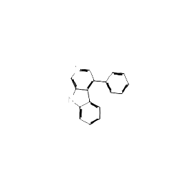 c1ccc(-c2cncc3[nH]c4ccccc4c23)cc1